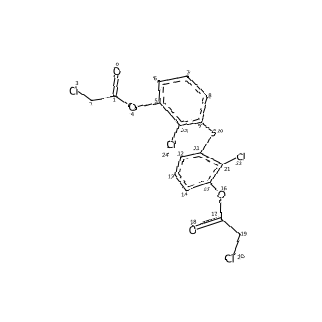 O=C(CCl)Oc1cccc(Sc2cccc(OC(=O)CCl)c2Cl)c1Cl